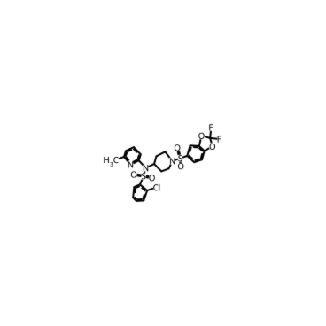 Cc1cccc(N(C2CCN(S(=O)(=O)c3ccc4c(c3)OC(F)(F)O4)CC2)S(=O)(=O)c2ccccc2Cl)n1